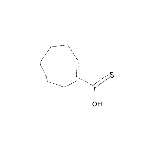 OC(=S)C1=CCCCCC1